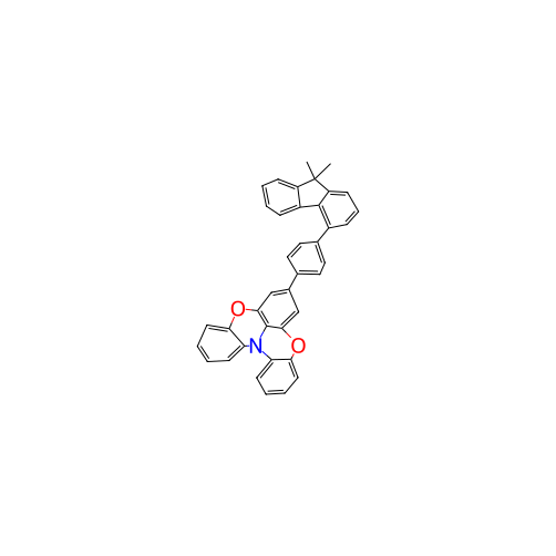 CC1(C)c2ccccc2-c2c(-c3ccc(-c4cc5c6c(c4)Oc4ccccc4N6c4ccccc4O5)cc3)cccc21